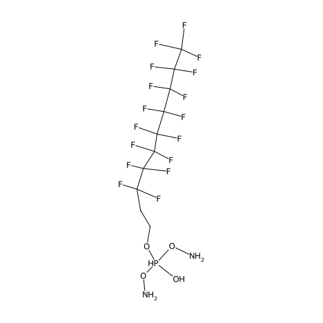 NO[PH](O)(ON)OCCC(F)(F)C(F)(F)C(F)(F)C(F)(F)C(F)(F)C(F)(F)C(F)(F)C(F)(F)F